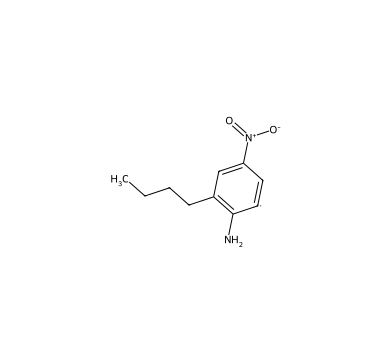 CCCCc1cc([N+](=O)[O-])c[c]c1N